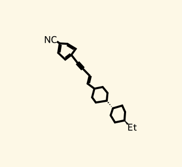 CC[C@H]1CC[C@H](C2CCC(/C=C/C#Cc3ccc(C#N)cc3)CC2)CC1